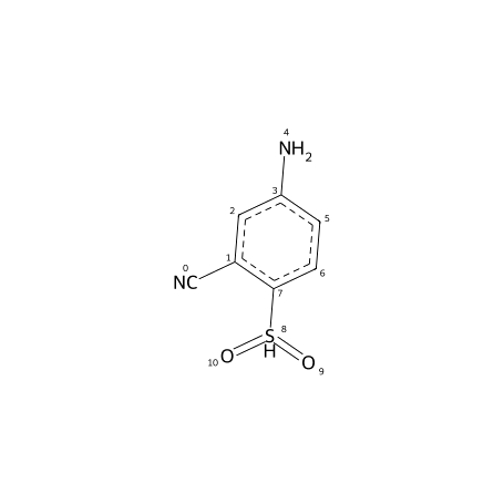 N#Cc1cc(N)ccc1[SH](=O)=O